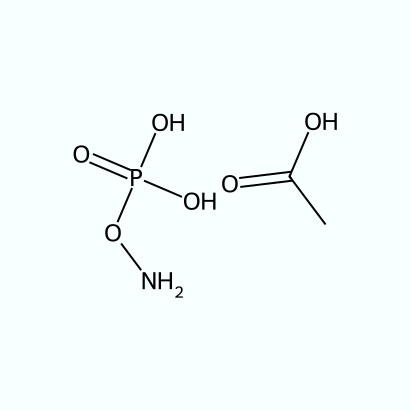 CC(=O)O.NOP(=O)(O)O